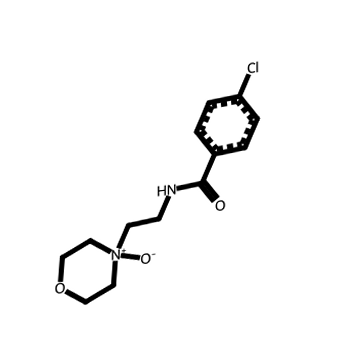 O=C(NCC[N+]1([O-])CCOCC1)c1ccc(Cl)cc1